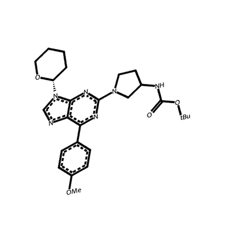 COc1ccc(-c2nc(N3CCC(NC(=O)OC(C)(C)C)C3)nc3c2ncn3[C@H]2CCCCO2)cc1